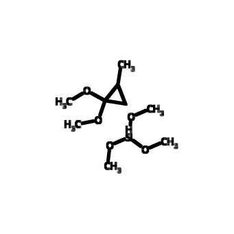 COC1(OC)CC1C.CO[SiH](OC)OC